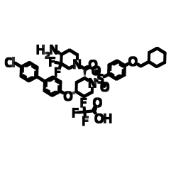 N[C@H]1CCN(C(=O)[C@H]2C[C@@H](Oc3ccc(-c4ccc(Cl)cc4)cc3)CCN2S(=O)(=O)c2ccc(OCC3CCCCC3)cc2)CC1(F)F.O=C(O)C(F)(F)F